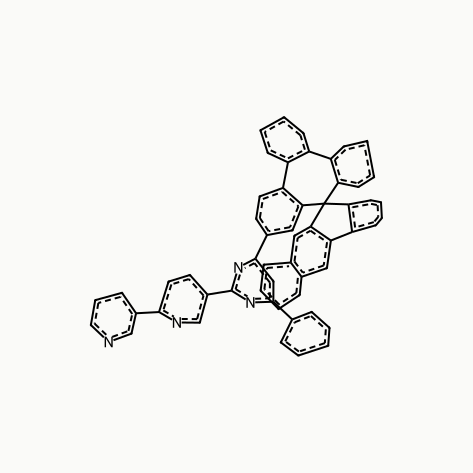 c1ccc(-c2cc(-c3ccc4c(c3)C3(c5ccccc5-c5ccccc5-4)c4ccccc4-c4cc5ccccc5cc43)nc(-c3ccc(-c4cccnc4)nc3)n2)cc1